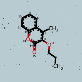 [CH2]CCOc1c(C)c2ccccc2oc1=O